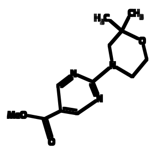 COC(=O)c1cnc(N2CCOC(C)(C)C2)nc1